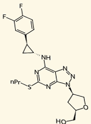 CCCSc1nc(N[C@@H]2C[C@H]2c2ccc(F)c(F)c2)c2nnn([C@H]3CO[C@@H](CO)C3)c2n1